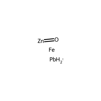 [Fe].[O]=[Zn].[PbH2]